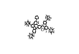 Cc1nc(C)nc(-c2ccc3c(c2)c2cc(-c4nc(C)nc(C)n4)ccc2n3-c2cc(C(F)(F)F)c(-n3c4ccc(-c5nc(C)nc(C)n5)cc4c4cc(-c5nc(C)nc(C)n5)ccc43)cc2-c2cccc(-c3ccccc3)n2)n1